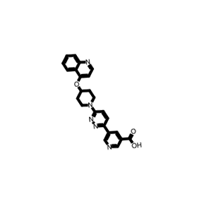 O=C(O)c1cncc(-c2ccc(N3CCC(Oc4ccnc5ccccc45)CC3)nn2)c1